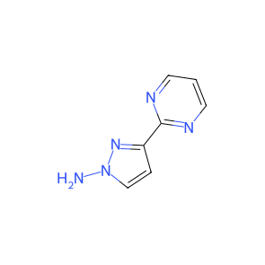 Nn1ccc(-c2ncccn2)n1